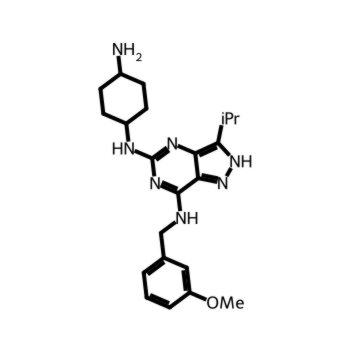 COc1cccc(CNc2nc(NC3CCC(N)CC3)nc3c(C(C)C)[nH]nc23)c1